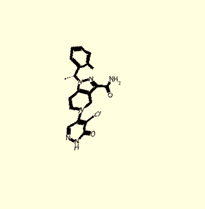 Cc1ccccc1[C@@H](C)n1nc(C(N)=O)c2c1CCN(c1cn[nH]c(=O)c1Cl)C2